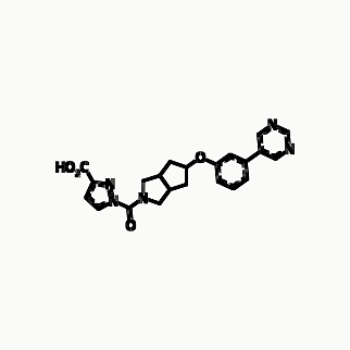 O=C(O)c1ccn(C(=O)N2CC3CC(Oc4cccc(-c5cncnc5)c4)CC3C2)n1